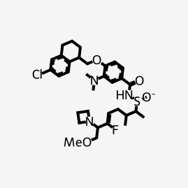 COCC(/C(F)=C/CC(C)C(C)[S+]([O-])NC(=O)c1ccc(OCC2CCCc3cc(Cl)ccc32)c(N(C)C)c1)N1CCC1